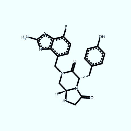 Nc1nc2c(CN3C[C@H]4NCC(=O)N4[C@@H](Cc4ccc(O)cc4)C3=O)ccc(F)c2s1